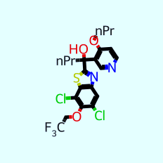 CCCOc1ccncc1C(O)(CCC)c1nc2cc(Cl)c(OCC(F)(F)F)c(Cl)c2s1